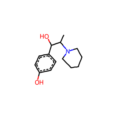 CC(C(O)c1ccc(O)cc1)N1CCCCC1